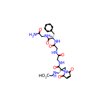 NC(=O)CNC(=O)[C@H](Cc1ccccc1)NC(=O)CNC(=O)CNC(=O)[C@@]1(CNCC(=O)O)C[N+]12C(=O)C=CC2=O